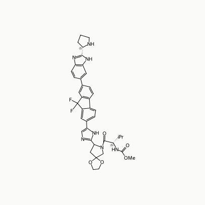 COC(=O)N[C@H](C(=O)N1CC2(CC1c1ncc(-c3ccc4c(c3)C(F)(F)c3cc(-c5ccc6nc([C@@H]7CCCN7)[nH]c6c5)ccc3-4)[nH]1)OCCO2)C(C)C